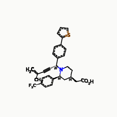 C=C(C)C#C[C@H](c1ccc(-c2cccs2)cc1)N1CC[C@@H](CC(=O)O)C[C@H]1c1ccc(C(F)(F)F)cc1